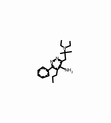 CCCc1c(-c2ccccc2)nnc(CC(C)(C)N(CC)CC)c1N